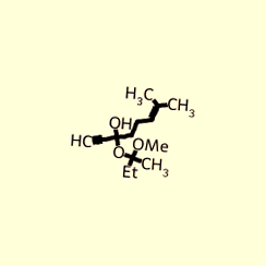 C#CC(O)(CCC=C(C)C)OC(C)(CC)OC